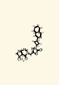 Cn1cnc2ncn(Cc3nn(C4CC(c5ccc6ccccc6c5)C4)c(=O)o3)c(=O)c21